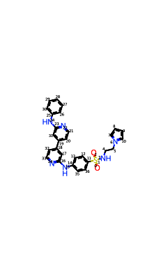 O=S(=O)(NCCn1cccc1)c1ccc(Nc2cc(-c3ccnc(Nc4ccccc4)c3)ccn2)cc1